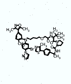 Cc1ccc(-c2c(C)noc2C)cc1N(CCCCCOCC(=O)N[C@H](C(=O)N1CCC[C@H]1C(=O)N[C@@H](C)c1ccc(-c2scnc2C)cc1)C(C)(C)C)c1ccc(-n2ccnn2)c(Br)c1